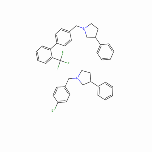 Brc1ccc(CN2CCC(c3ccccc3)C2)cc1.FC(F)(F)c1ccccc1-c1ccc(CN2CCC(c3ccccc3)C2)cc1